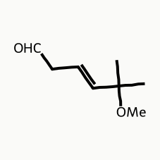 COC(C)(C)/C=C/CC=O